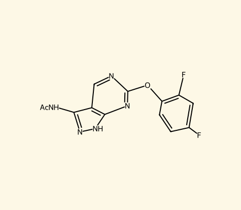 CC(=O)Nc1n[nH]c2nc(Oc3ccc(F)cc3F)ncc12